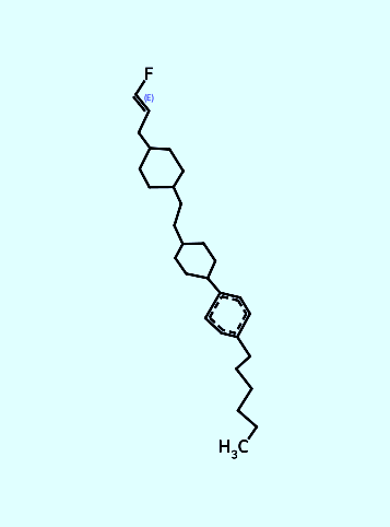 CCCCCCc1ccc(C2CCC(CCC3CCC(C/C=C/F)CC3)CC2)cc1